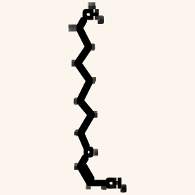 C/C=C\OCCCCCCCC